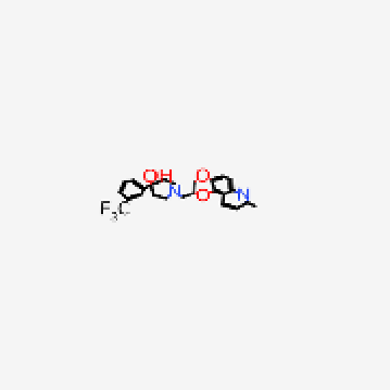 Cc1ccc2c3c(ccc2n1)OCC(CN1CCC(O)(c2cccc(C(F)(F)F)c2)CC1)O3